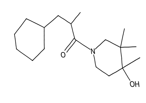 CC(CC1CCCCC1)C(=O)N1CCC(C)(O)C(C)(C)C1